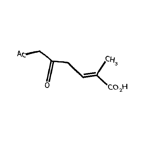 CC(=O)CC(=O)CC=C(C)C(=O)O